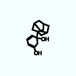 OC1=CC=CC(O)(C23CC4CC(CC(C4)C2)C3)C1